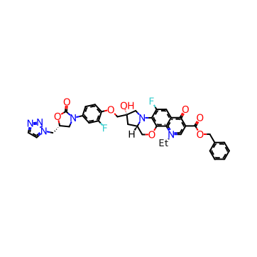 CCn1cc(C(=O)OCc2ccccc2)c(=O)c2cc(F)c3c(c21)OC[C@@H]1C[C@@](O)(COc2ccc(N4C[C@H](Cn5ccnn5)OC4=O)cc2F)CN31